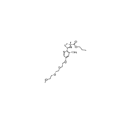 CCCOC(=O)[C@@]1(C)CSC(c2ncc(OCCOCCOCCOC)cc2O)=N1